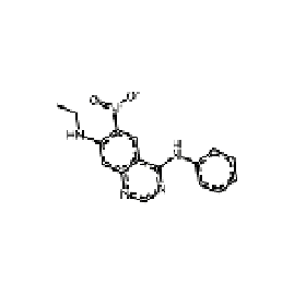 CCNc1cc2ncnc(Nc3ccccc3)c2cc1[N+](=O)[O-]